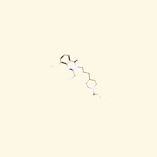 COc1cccc2c(=O)n(CCCC3CCN(C(=O)OC(C)(C)C)CC3)c(CBr)nc12